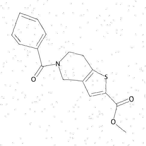 COC(=O)c1cc2c(s1)CCN(C(=O)c1ccccc1)C2